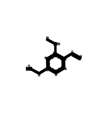 C=Cc1ccc(CO)cc1OC